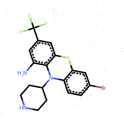 Nc1cc(C(F)(F)F)cc2c1N(C1CCNCC1)c1ccc(Br)cc1S2